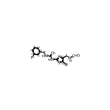 O=CNCc1nc(NC(=O)NCc2cccc(F)c2)sc1Br